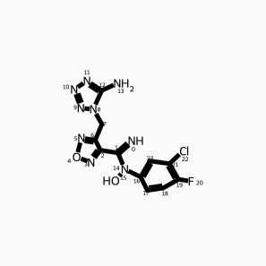 N=C(c1nonc1Cn1nnnc1N)N(O)c1ccc(F)c(Cl)c1